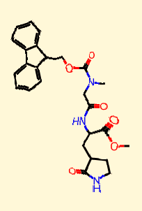 COC(=O)C(CC1CCNC1=O)NC(=O)CN(C)C(=O)OCC1c2ccccc2-c2ccccc21